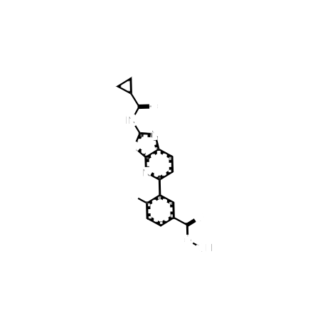 COC(=O)c1ccc(C)c(-c2ccc3nc(NC(=O)C4CC4)sc3n2)c1